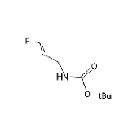 CC(C)(C)OC(=O)NCC=CF